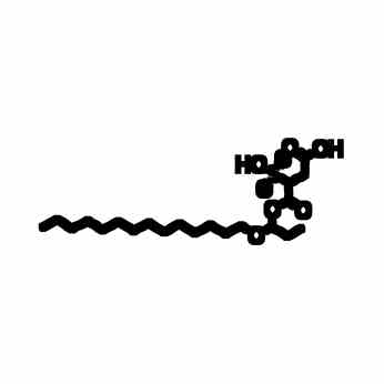 CCCCCCCCCCCCCCOC(CC)OC(=O)C(CC(=O)O)S(=O)(=O)O